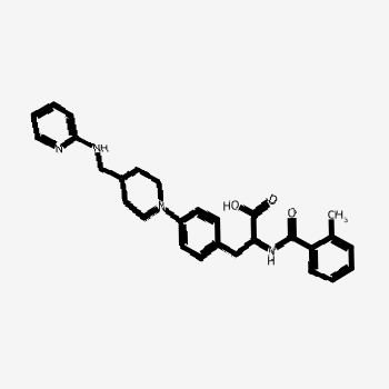 Cc1ccccc1C(=O)NC(Cc1ccc(N2CCC(CNc3ccccn3)CC2)cc1)C(=O)O